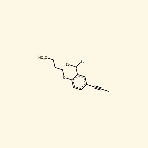 CC#Cc1ccc(OCCCC(=O)O)c(N(CC)CC)c1